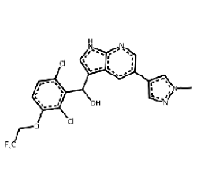 Cn1cc(-c2cnc3[nH]cc(C(O)c4c(Cl)ccc(OCC(F)(F)F)c4Cl)c3c2)cn1